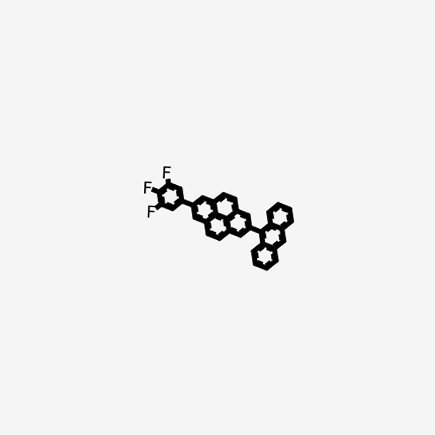 Fc1cc(-c2cc3ccc4cc(-c5c6ccccc6cc6ccccc56)cc5ccc(c2)c3c45)cc(F)c1F